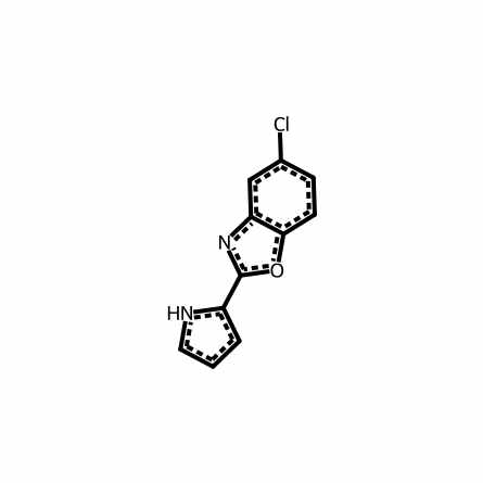 Clc1ccc2oc(-c3ccc[nH]3)nc2c1